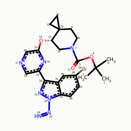 CC(C)(C)OC(=O)N1CCC2(CC2)[C@@H](Oc2cncc(-c3nn(N=N)c4ccc(Br)cc34)n2)C1